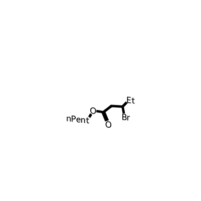 CCCCCOC(=O)CC(Br)CC